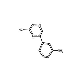 N#Cc1cncc(-c2cccc(N)c2)n1